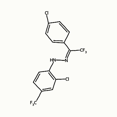 FC(F)(F)C(=NNc1ccc(C(F)(F)F)cc1Cl)c1ccc(Cl)cc1